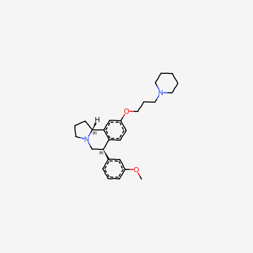 COc1cccc([C@H]2CN3CCC[C@@H]3c3cc(OCCCN4CCCCC4)ccc32)c1